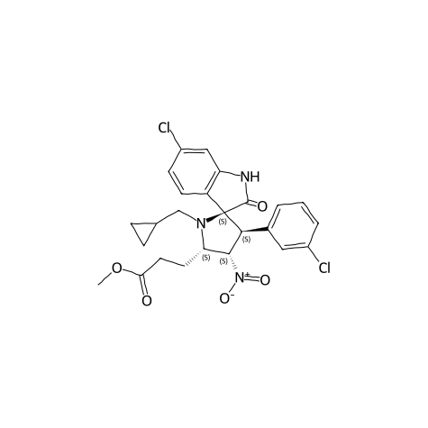 COC(=O)CC[C@H]1[C@@H]([N+](=O)[O-])[C@H](c2cccc(Cl)c2)[C@]2(C(=O)Nc3cc(Cl)ccc32)N1CC1CC1